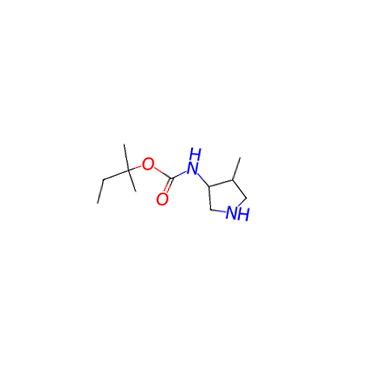 CCC(C)(C)OC(=O)NC1CNCC1C